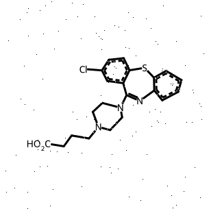 O=C(O)CCCN1CCN(C2=Nc3ccccc3Sc3ccc(Cl)cc32)CC1